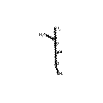 CCCC#CCCOC(=O)CCCCCCCN(CCO)CCCCCCOC(=O)CCC(OCCCCCCCC)OCCCCCCCC